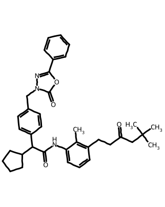 Cc1c(CCC(=O)CC(C)(C)C)cccc1NC(=O)C(c1ccc(Cn2nc(-c3ccccc3)oc2=O)cc1)C1CCCC1